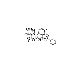 COC(=O)[C@@H](NC(=O)c1ccc(C)c(OCc2ccccc2)c1[N+](=O)[O-])[C@@H](C)O